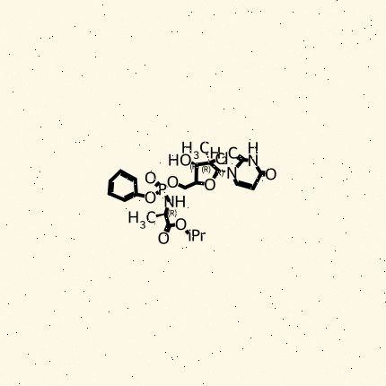 C=C1NC(=O)C=CN1[C@@H]1OC(COP(=O)(N[C@H](C)C(=O)OC(C)C)Oc2ccccc2)[C@@H](O)[C@@]1(C)Cl